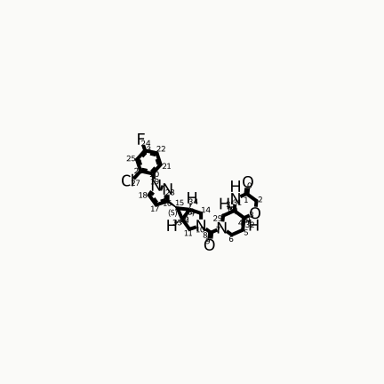 O=C1CO[C@H]2CCN(C(=O)N3C[C@@H]4[C@H](C3)[C@@H]4c3ccn(-c4ccc(F)cc4Cl)n3)C[C@H]2N1